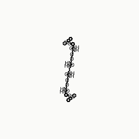 O=C(NCCCCNC(=O)NCCOCCOCCNC(=O)Nc1cccc(O[C@H]2c3ccccc3C[C@@H]2N2CCCCC2)c1)NCCOCCOCCNC(=O)Nc1cccc(O[C@H]2c3ccccc3C[C@@H]2N2CCCCC2)c1